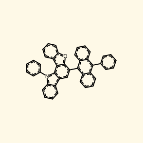 c1ccc(-c2c3ccccc3c(-c3cc4c5ccccc5n(-c5ccccc5)c4c4c3oc3ccccc34)c3ccccc23)cc1